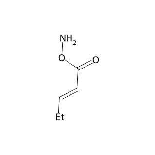 CCC=CC(=O)ON